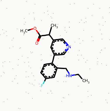 CCNCc1cc(F)ccc1-c1cncc(C(C)C(=O)OC)c1